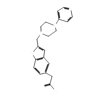 NC(=O)Cc1ccc2[nH]c(CN3CCN(c4ccncc4)CC3)cc2c1